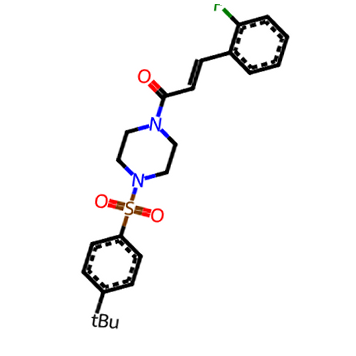 CC(C)(C)c1ccc(S(=O)(=O)N2CCN(C(=O)C=Cc3ccccc3F)CC2)cc1